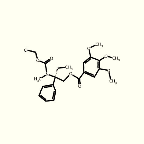 CC[C@](COC(=O)c1cc(OC)c(OC)c(OC)c1)(c1ccccc1)N(C)C(=O)OCCl